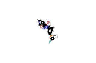 Cc1ccc(F)cc1S(=O)(=O)c1ccc(CNC(=O)c2cc3ccncc3o2)cc1